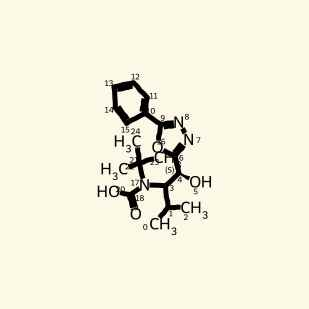 CC(C)C([C@H](O)c1nnc(-c2ccccc2)o1)N(C(=O)O)C(C)(C)C